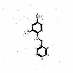 N#Cc1cc(N)ccc1OCc1ccccc1